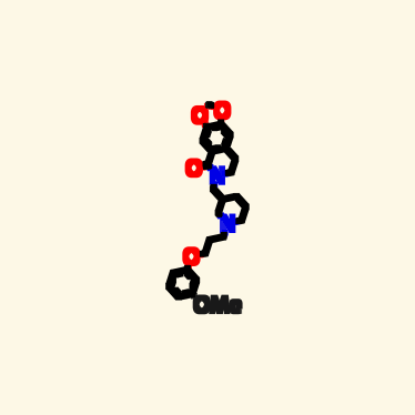 COc1cccc(OCCCN2CCCC(CN3CCc4cc5c(cc4C3=O)OCO5)C2)c1